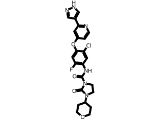 O=C(Nc1cc(Cl)c(Oc2ccnc(-c3cn[nH]c3)c2)cc1F)N1CCN(C2CCOCC2)C1=O